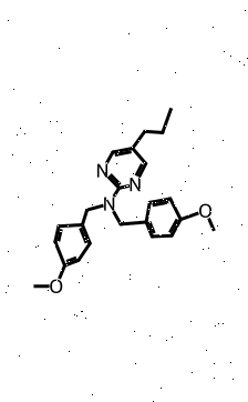 CCCc1cnc(N(Cc2ccc(OC)cc2)Cc2ccc(OC)cc2)nc1